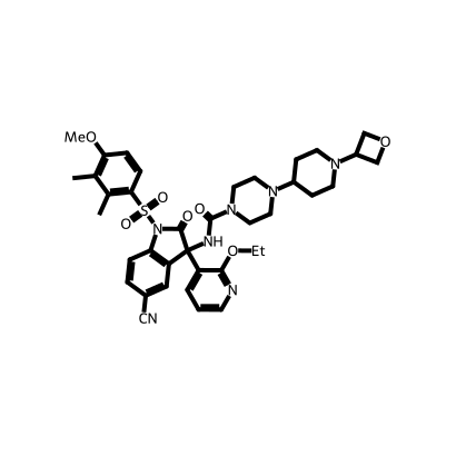 CCOc1ncccc1C1(NC(=O)N2CCN(C3CCN(C4COC4)CC3)CC2)C(=O)N(S(=O)(=O)c2ccc(OC)c(C)c2C)c2ccc(C#N)cc21